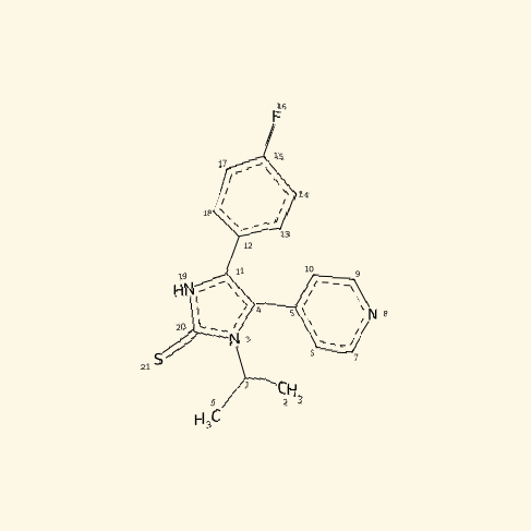 CC(C)n1c(-c2ccncc2)c(-c2ccc(F)cc2)[nH]c1=S